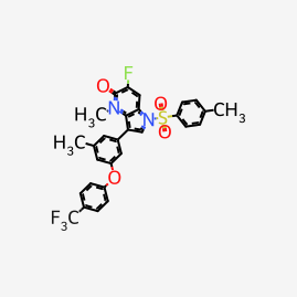 Cc1ccc(S(=O)(=O)n2cc(-c3cc(C)cc(Oc4ccc(C(F)(F)F)cc4)c3)c3c2cc(F)c(=O)n3C)cc1